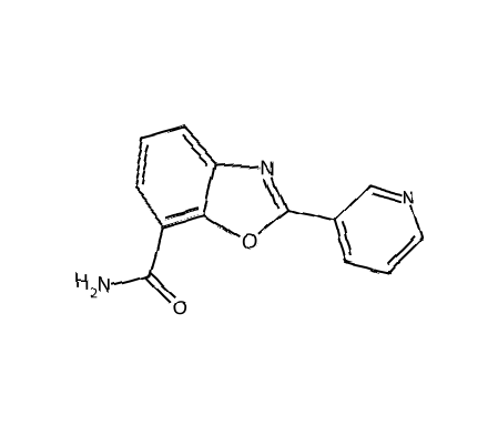 NC(=O)c1cccc2nc(-c3cccnc3)oc12